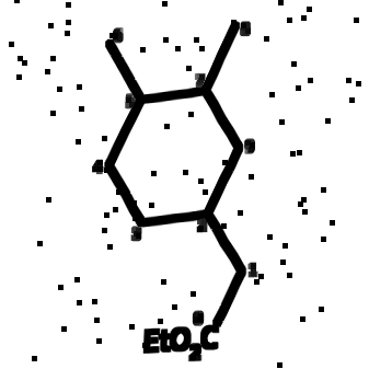 CCOC(=O)CC1CCC(C)C(C)C1